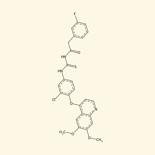 COc1cc2nccc(Oc3ccc(NC(=S)NC(=O)Cc4cccc(F)c4)cc3Cl)c2cc1OC